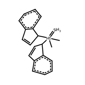 [CH3][Hf]([CH3])(=[SiH2])([CH]1C=Cc2ccccc21)[CH]1C=Cc2ccccc21